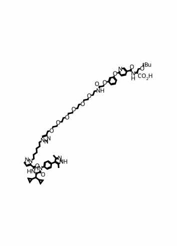 Cc1n[nH]c(C)c1-c1ccc(NC(=O)[C@@H](NC(=O)c2ccnn2CCCCCCn2cc(COCCOCCOCCOCCOCCOCCNC(=O)COc3cccc(Oc4ccc(C(=O)N[C@@H](COC(C)(C)C)C(=O)O)cn4)c3)nn2)C(C2CC2)C2CC2)cc1